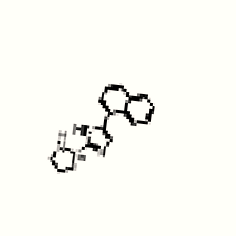 c1ccc2c(-c3cnc([C@H]4CCCN4)[nH]3)cccc2c1